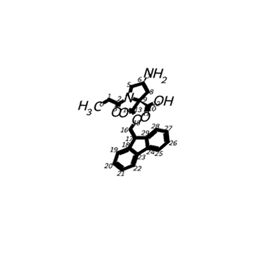 CCC(=O)N1C[C@H](N)C[C@]1(C(=O)O)C(=O)OCC1c2ccccc2-c2ccccc21